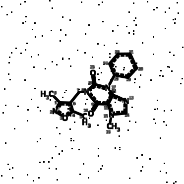 Cc1noc(C)c1Cn1c(=O)c2c(ncn2C)n(-c2ccccc2)c1=O